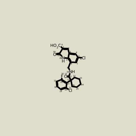 O=C(O)c1cc2cc(Cl)cc(CNC(=O)C3(c4c(F)cccc4Cl)CCCCC3)c2[nH]c1=O